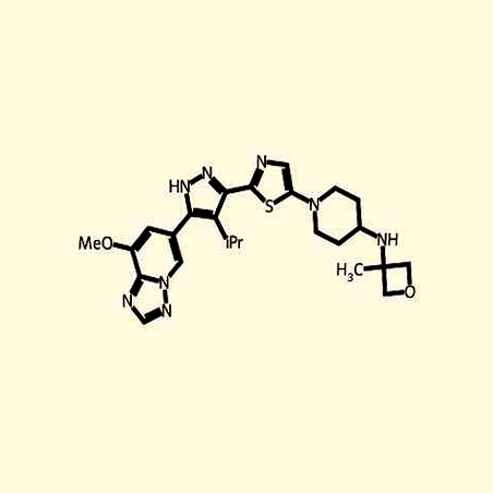 COc1cc(-c2[nH]nc(-c3ncc(N4CCC(NC5(C)COC5)CC4)s3)c2C(C)C)cn2ncnc12